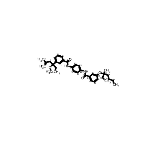 C=C(C)CC(CC)(OC)c1cccc(C(=O)Nc2ccc(NC(=O)c3cccc(OC(C)(CC)CCCC)c3)cc2)c1